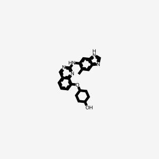 Cc1cc2nc[nH]c2cc1Nc1ncc2cccc(OC3CCC(O)CC3)c2n1